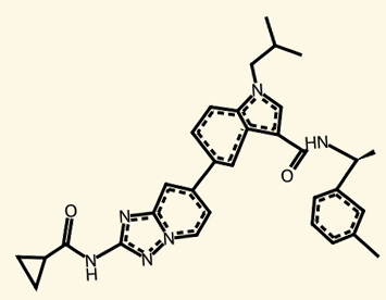 Cc1cccc([C@H](C)NC(=O)c2cn(CC(C)C)c3ccc(-c4ccn5nc(NC(=O)C6CC6)nc5c4)cc23)c1